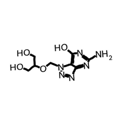 Nc1nc(O)c2c(nnn2COC(CO)CO)n1